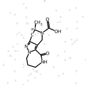 C[C@@H]1Cc2nn3c(c2CN1C(=O)O)C(=O)NCCC3